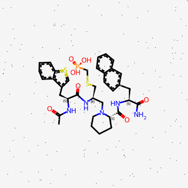 CC(=O)N[C@@H](Cc1csc2ccccc12)C(=O)N[C@@H](CSCP(=O)(O)O)CN1CCCC[C@H]1C(=O)N[C@@H](Cc1ccc2ccccc2c1)C(N)=O